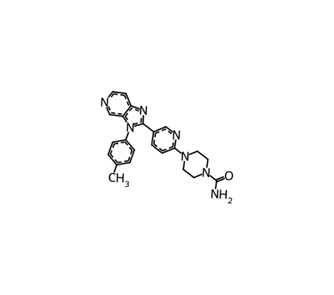 Cc1ccc(-n2c(-c3ccc(N4CCN(C(N)=O)CC4)nc3)nc3ccncc32)cc1